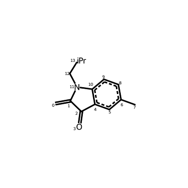 C=C1C(=O)c2cc(C)ccc2N1CC(C)C